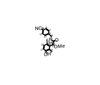 CO[C@H](C(=O)NCc1ccc(C#N)cc1)c1c(F)ccc(O)c1F